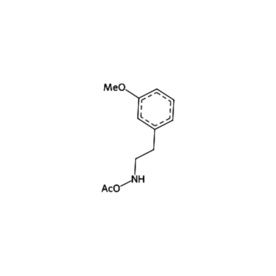 COc1cccc(CCNOC(C)=O)c1